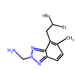 CCCCC(CC)Cc1c(C)ccc2nn(CN)nc12